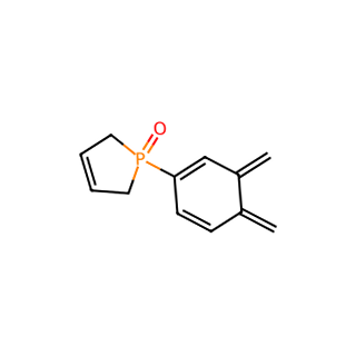 C=c1ccc(P2(=O)CC=CC2)cc1=C